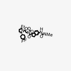 CC[C@H]1CC[C@@H](C2CCC(F)(F)CC2)N1C(=O)CN1C(=O)OC2(CCc3cc(NC(=O)NC)ccc32)C1=O